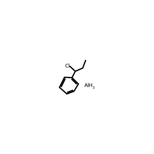 CCC(Cl)c1ccccc1.[AlH3]